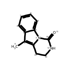 Cc1c2n(c3ccccc13)C(=O)NCC2